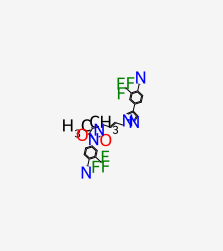 CC1(C)C(=O)N(c2ccc(C#N)c(C(F)(F)F)c2)C(=O)N1CC=CCn1cc(-c2ccc(C#N)c(C(F)(F)F)c2)cn1